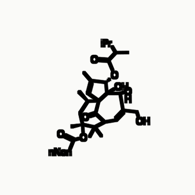 CCCCCCCCCC(=O)O[C@]1(C)C[C@@H](C)C23C=C(C)[C@H](OC(=O)C(C)C(C)C)C2(O)C(O)C(CO)=CC(C3=O)C1(C)C